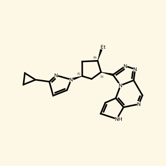 CC[C@@H]1C[C@H](n2ccc(C3CC3)n2)C[C@@H]1c1nnc2cnc3[nH]ccc3n12